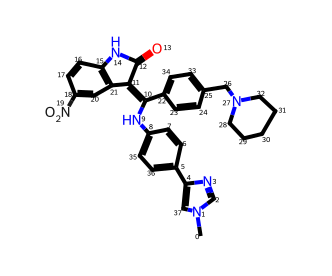 Cn1cnc(-c2ccc(NC(=C3C(=O)Nc4ccc([N+](=O)[O-])cc43)c3ccc(CN4CCCCC4)cc3)cc2)c1